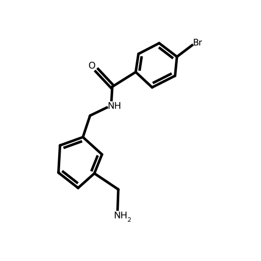 NCc1cccc(CNC(=O)c2ccc(Br)cc2)c1